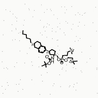 CCCCCC[C@@H]1CCc2cc([C@H]3CC[C@@](COP(=O)(CCC[Si](C)(C)C)OCC[Si](C)(C)C)(NC(=O)OC(C)(C)C)C3)ccc2C1